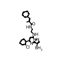 Bc1cnn2c(NCCNC(=O)/C(C)=C/c3ccccc3)cc(-c3ccccc3Cl)nc12